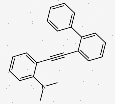 CN(C)c1ccccc1C#Cc1ccccc1-c1ccccc1